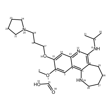 COc1cc2c3c(c(NC(C)C)nc2cc1OCCCN1CCCC1)CCCCN3.O=CO